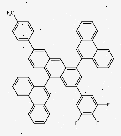 Fc1cc(-c2cc(-c3cc4ccccc4c4ccccc34)c3cc4cc(-c5ccc(C(F)(F)F)cc5)ccc4c(-c4cc5ccccc5c5ccccc45)c3c2)cc(F)c1F